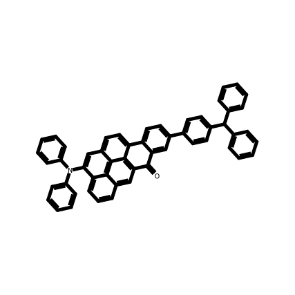 O=C1c2cc(-c3ccc(C(c4ccccc4)c4ccccc4)cc3)ccc2-c2ccc3cc(N(c4ccccc4)c4ccccc4)c4cccc5cc1c2c3c54